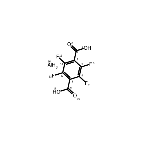 O=C(O)c1c(F)c(F)c(C(=O)O)c(F)c1F.[AlH3]